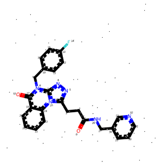 O=C(CCc1nnc2n(Cc3ccc(F)cc3)c(=O)c3ccccc3n12)NCc1cccnc1